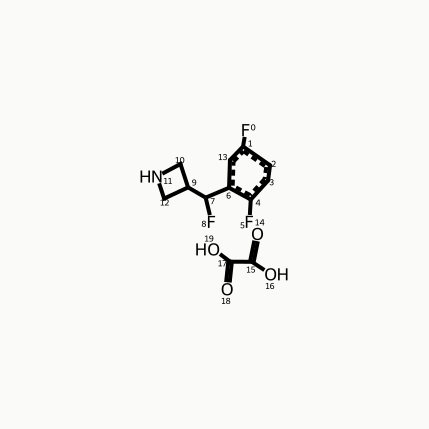 Fc1ccc(F)c(C(F)C2CNC2)c1.O=C(O)C(=O)O